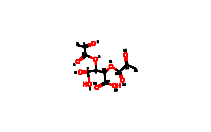 CC(=O)C(=O)OC(C(=O)O)C(OC(=O)C(C)=O)C(=O)O